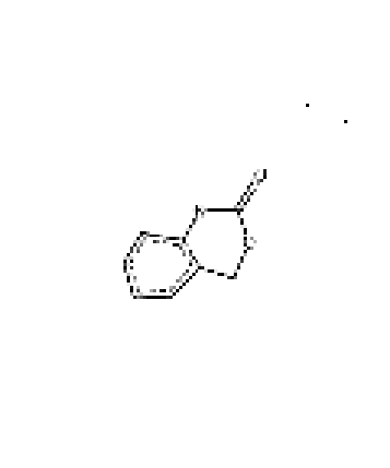 O=C1[N]c2ccccc2CO1